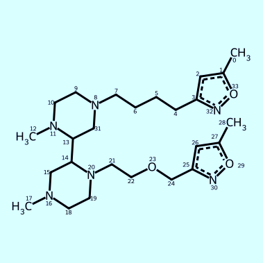 Cc1cc(CCCCN2CCN(C)C(C3CN(C)CCN3CCOCc3cc(C)on3)C2)no1